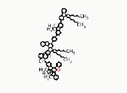 CCCCCCCC1(CCCCCCC)c2ccccc2-c2ccc(-c3ccc4c(c3)C(C)(C)c3cc(-c5ccc(-c6cc7c(c8c6Cc6ccccc6-8)-c6ccc(CC(Cc8ccc9c(c8)C(C)(C)c8c%10c(c%11oc%12ccccc%12c%11c8-9)-c8ccccc8C%10(C)C)c8c(C)cccc8C)cc6C7(CCCCCCC)CCCCCCC)cc5)ccc3-4)cc21